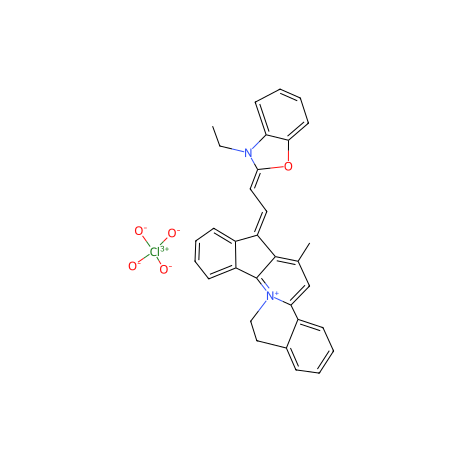 CCN1C(=CC=C2c3ccccc3-c3c2c(C)cc2[n+]3CCc3ccccc3-2)Oc2ccccc21.[O-][Cl+3]([O-])([O-])[O-]